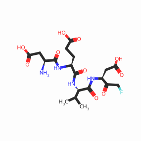 CC(C)[C@H](NC(=O)[C@H](CCC(=O)O)NC(=O)[C@@H](N)CC(=O)O)C(=O)N[C@@H](CC(=O)O)C(=O)CF